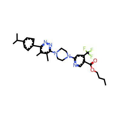 CCCCOC(=O)c1cnc(N2CCN(c3nnc(-c4ccc(C(C)C)cc4)c(C)c3C)CC2)cc1C(F)(F)F